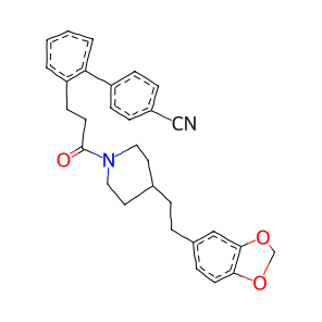 N#Cc1ccc(-c2ccccc2CCC(=O)N2CCC(CCc3ccc4c(c3)OCO4)CC2)cc1